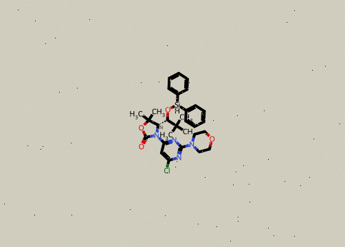 CC(C)(C)C(O[SiH](c1ccccc1)c1ccccc1)[C@@H]1N(c2cc(Cl)nc(N3CCOCC3)n2)C(=O)OC1(C)C